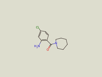 Nc1cc(Cl)ccc1C(=O)N1CCCCCC1